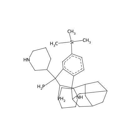 C[Si](C)(C)c1ccc(C2(CP)C3CC4CC(C3)CC2C4)c(C(P)(C2CCCNC2)C2CCCNC2)c1